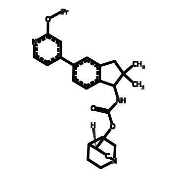 CC(C)Oc1cc(-c2ccc3c(c2)CC(C)(C)C3NC(=O)O[C@H]2CN3CCC2CC3)ccn1